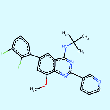 COc1cc(-c2cccc(F)c2F)cc2c(NC(C)(C)C)nc(-c3cccnc3)nc12